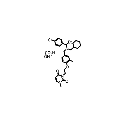 CCC(c1ccc(Cl)cc1)N(Cc1ccc(OCCn2c(=O)ccn(C)c2=O)c(C)c1)CC1CCCCC1.O=C(O)O